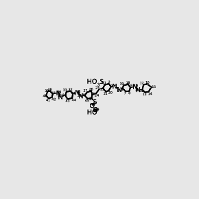 O=S(=O)(O)c1cc(N=Nc2ccc(N=Nc3ccccc3)cc2)ccc1C=Cc1ccc(N=Nc2ccc(N=Nc3ccccc3)cc2)cc1SOOO